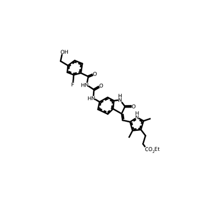 CCOC(=O)CCc1c(C)[nH]c(/C=C2\C(=O)Nc3cc(NC(=O)NC(=O)c4ccc(CO)cc4F)ccc32)c1C